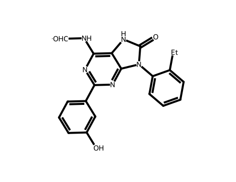 CCc1ccccc1-n1c(=O)[nH]c2c(N[C]=O)nc(-c3cccc(O)c3)nc21